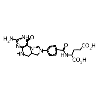 Nc1nc2c(c(=O)[nH]1)[N+]1=CN(c3ccc(C(=O)N[C@@H](CCC(=O)O)C(=O)O)cc3)CC1CN2